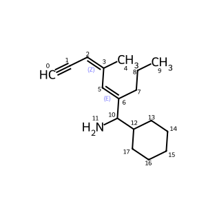 C#C/C=C(C)\C=C(/CCC)C(N)C1CCCCC1